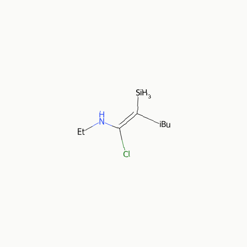 CCNC(Cl)=C([SiH3])C(C)CC